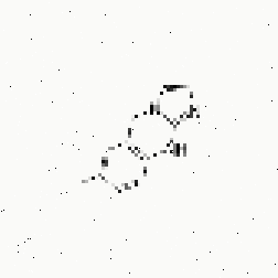 Cc1ccc2c(c1)Cn1ccnc1N2